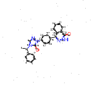 CC(c1ccccc1)n1cnn(-c2ccc(-c3n[nH]c(=O)c4ccccc34)cc2)c1=O